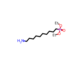 CCOP(=O)(CCCCCCCCCCN)OCC